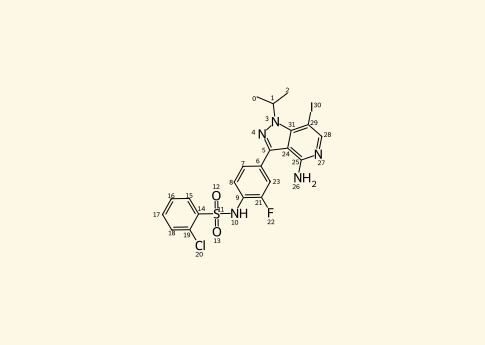 CC(C)n1nc(-c2ccc(NS(=O)(=O)c3ccccc3Cl)c(F)c2)c2c(N)ncc(I)c21